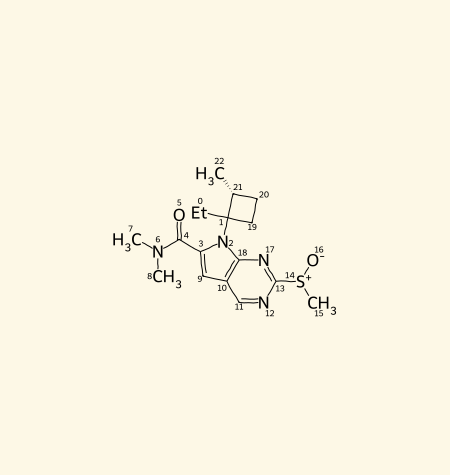 CCC1(n2c(C(=O)N(C)C)cc3cnc([S+](C)[O-])nc32)CC[C@H]1C